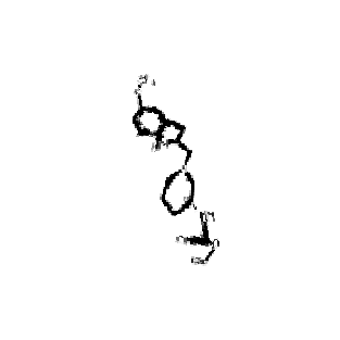 CC(C)(C)OC(=O)N[C@@H]1CCCN(Cc2cc3cc(OC(F)(F)F)ccc3[nH]2)C1